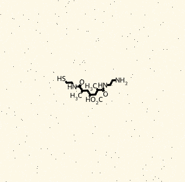 CC(CC(CC(C)C(=O)NCCS)C(=O)O)C(=O)NCCN